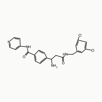 NC(CC(=O)NCc1cc(Cl)cc(Cl)c1)c1ccc(C(=O)Nc2ccncc2)cc1